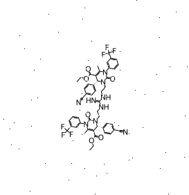 CCOC(=O)C1=C(C)N(c2cccc(C(F)(F)F)c2)C(=O)N(CCNC(=N)NCCN2C(=O)N(c3cccc(C(F)(F)F)c3)C(C)=C(C(=O)OCC)[C@H]2c2ccc(C#N)cc2)[C@@H]1c1ccc(C#N)cc1